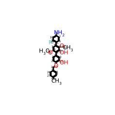 COc1cc(-c2ccc(N)cc2F)c(OC)c(O)c1-c1ccc(OCc2ccc(C)cc2)c(O)c1